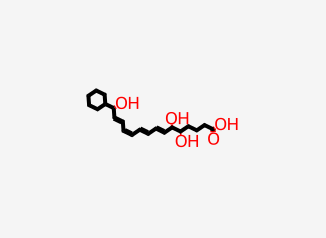 O=C(O)CCC[C@H](O)[C@H](O)/C=C/C=C/C=C\C=C\C(O)C1CCCCC1